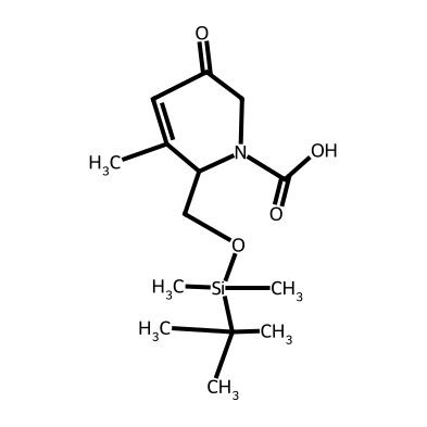 CC1=CC(=O)CN(C(=O)O)C1CO[Si](C)(C)C(C)(C)C